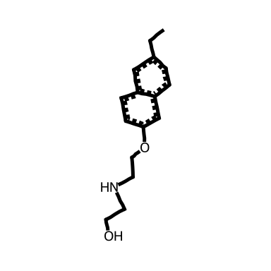 CCc1ccc2cc(OCCNCCO)ccc2c1